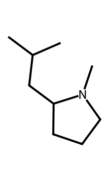 CC(C)CC1CCCN1C